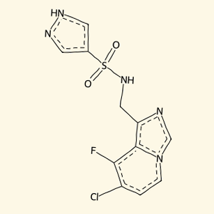 O=S(=O)(NCc1ncn2ccc(Cl)c(F)c12)c1cn[nH]c1